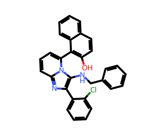 Oc1ccc2ccccc2c1-c1cccc2nc(-c3ccccc3Cl)c(NCc3ccccc3)n12